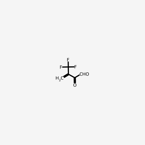 C=C(C(=O)C=O)C(F)(F)F